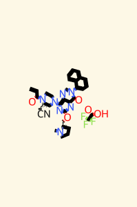 C=CC(=O)N1CCN(c2nc(OC[C@@H]3CCCN3C)nc3c(=O)n(-c4cccc5ccccc45)cnc23)C[C@@H]1CC#N.O=C(O)C(F)(F)F